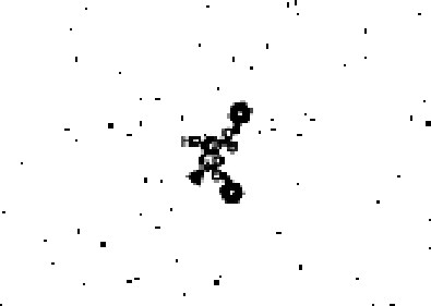 O=C(OCc1ccccc1)N1C[C@@H](CN(C(=O)OCc2ccccc2)C2CC2)[C@H](O)C1